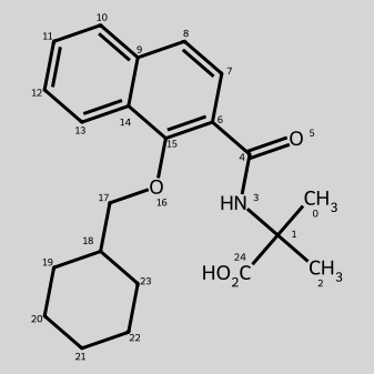 CC(C)(NC(=O)c1ccc2ccccc2c1OCC1CCCCC1)C(=O)O